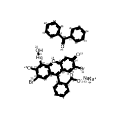 O=C([O-])c1ccccc1-c1c2cc(Br)c(=O)cc-2oc2[c]([Hg][OH])c([O-])c(Br)cc12.O=C(c1ccccc1)c1ccccc1.[Na+].[Na+]